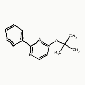 CC(C)(C)Oc1ccnc(-c2ccccc2)n1